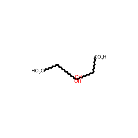 O=C(O)CCCCCCC/C=C\CCCCCCCCCCCC(O)(O)CCCCCCCC/C=C\CCCCCCCC(=O)O